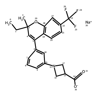 CCC1(C)C=C(c2cccc(N3CC(C(=O)[O-])C3)c2)c2ccc(C(F)(F)F)cc2O1.[Na+]